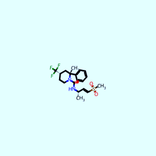 C[C@@H](/C=C/S(C)(=O)=O)NC(=O)N1CC[C@H](C(F)(F)F)C[C@]1(C)c1ccccc1